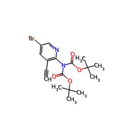 C#Cc1cc(Br)cnc1N(C(=O)OC(C)(C)C)C(=O)OC(C)(C)C